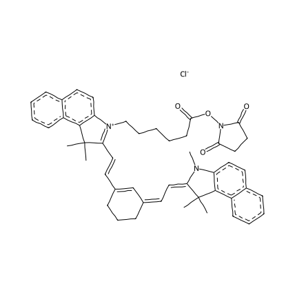 CN1C(=CC=C2C=C(C=CC3=[N+](CCCCCC(=O)ON4C(=O)CCC4=O)c4ccc5ccccc5c4C3(C)C)CCC2)C(C)(C)c2c1ccc1ccccc21.[Cl-]